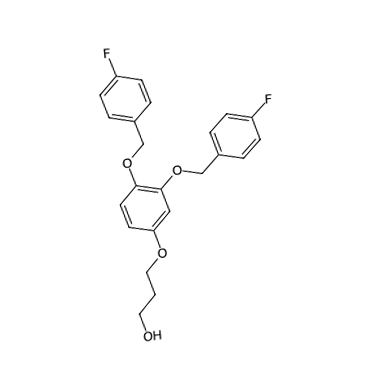 OCCCOc1ccc(OCc2ccc(F)cc2)c(OCc2ccc(F)cc2)c1